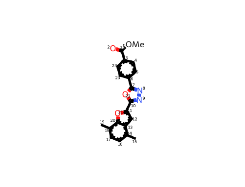 COC(=O)c1ccc(-c2nnc(-c3cc4c(C)ccc(C)c4o3)o2)cc1